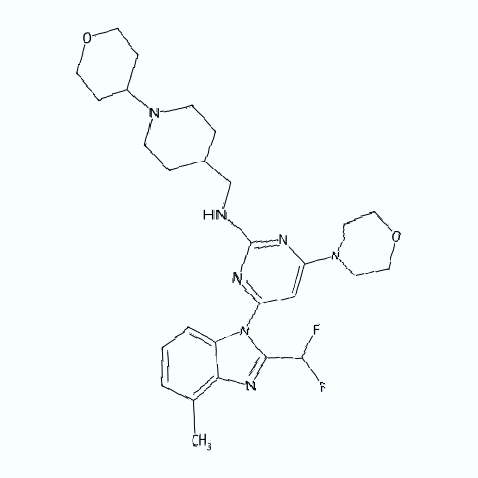 Cc1cccc2c1nc(C(F)F)n2-c1cc(N2CCOCC2)nc(NCC2CCN(C3CCOCC3)CC2)n1